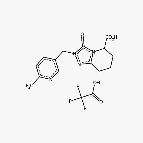 O=C(O)C(F)(F)F.O=C(O)C1CCCc2nn(Cc3ccc(C(F)(F)F)nc3)c(=O)n21